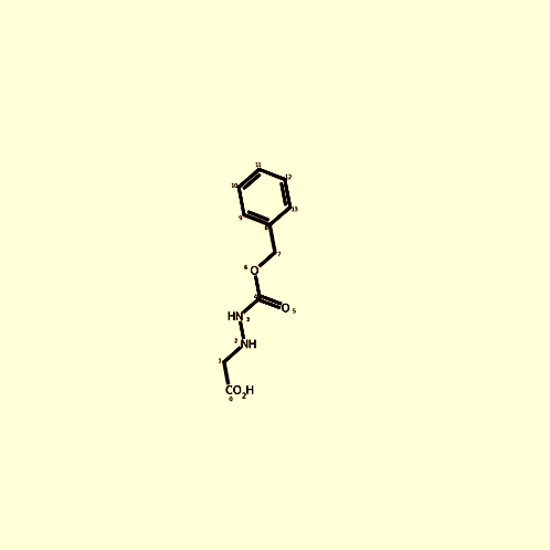 O=C(O)CNNC(=O)OCc1ccccc1